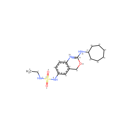 CCNS(=O)(=O)Nc1ccc2c(c1)COC(NC1CCCCCC1)=N2